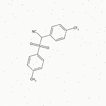 Cc1ccc(S(=O)(=O)C(C#N)c2ccc(C(F)(F)F)cc2)cc1